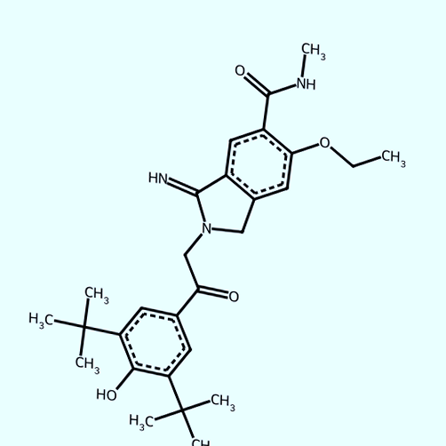 CCOc1cc2c(cc1C(=O)NC)C(=N)N(CC(=O)c1cc(C(C)(C)C)c(O)c(C(C)(C)C)c1)C2